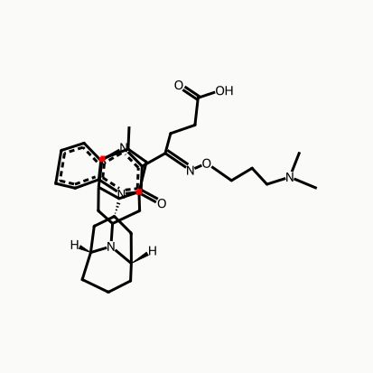 CC1CC2CC(C1)CC(N1[C@@H]3CCC[C@H]1C[C@@H](n1c(=O)c(/C(CCC(=O)O)=N/OCCCN(C)C)nc4ccccc41)C3)C2